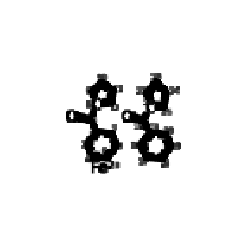 O=C(c1ccccc1)[c-]1cccc1.O=C(c1ccccc1)[c-]1cccc1.[Fe+2]